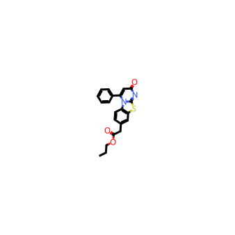 CCCOC(=O)Cc1ccc2c(c1)sc1nc(=O)cc(-c3ccccc3)n12